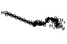 CCCN(CCCNC(=O)OC(C)(C)C)C(=O)C1=Cc2ccc(-c3cccc(S(=O)(=O)N4CC(CNC(=O)OCc5ccc(NC(=O)[C@@H](NC(=O)[C@@H]6CCCN6C(=O)CCOCCOCCOCCOCCOCCOCCOCCOCCOCCOCCC(=O)O)C(C)C)cc5)C4)c3)cc2N=C(N)C1